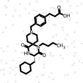 CCCCN1C(=O)[C@H](CC2CCCCC2)NC(=O)C12CCN(Cc1ccc(CCC(=O)O)cc1)CC2